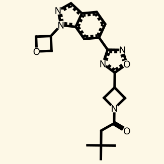 CC(C)(C)CC(=O)N1CC(c2nc(-c3ccc4cnn(C5COC5)c4c3)no2)C1